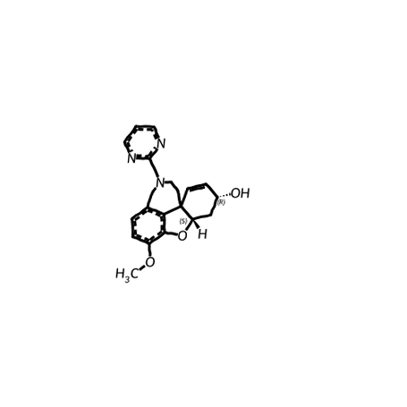 COc1ccc2c3c1O[C@H]1C[C@@H](O)C=CC31CCN(c1ncccn1)C2